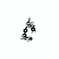 C[C@H](NC(O)c1nc(C#N)cnc1NCc1ccc(-c2cnc3[nH]nc(NC(=O)C(C)(C)C)c3c2)cc1)c1ccc(F)c(F)c1